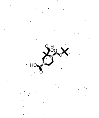 CC(C)(C)OC(=O)N1CCN(C(=O)O)CC1(C)C(=O)O